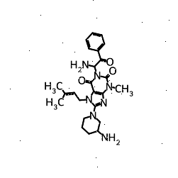 CC(C)=CCn1c(N2CCCC(N)C2)nc2c1c(=O)n(C(N)C(=O)c1ccccc1)c(=O)n2C